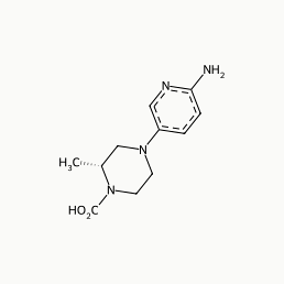 C[C@@H]1CN(c2ccc(N)nc2)CCN1C(=O)O